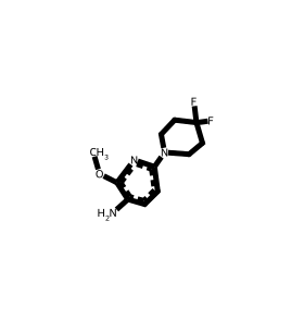 COc1nc(N2CCC(F)(F)CC2)ccc1N